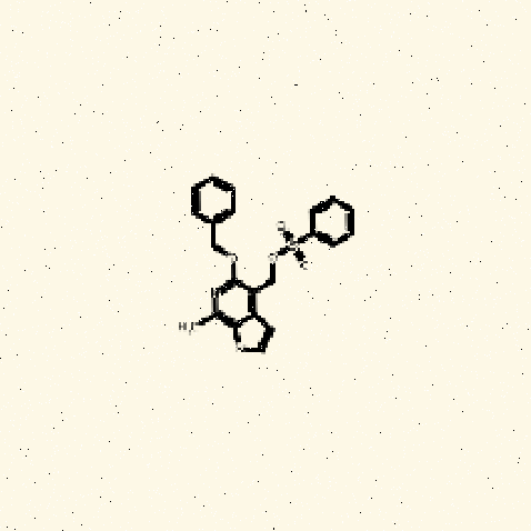 Cc1nc(OCc2ccccc2)c(COS(=O)(=O)c2ccccc2)c2ccsc12